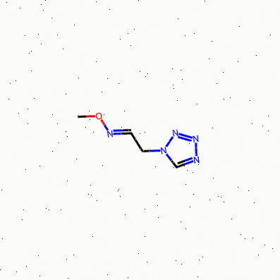 CON=CCn1[c]nnn1